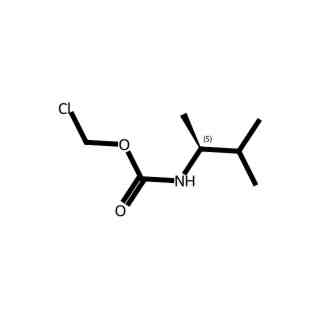 CC(C)[C@H](C)NC(=O)OCCl